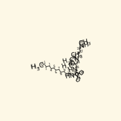 CCCCCCCCCCCCNc1c(NCC(CN(CCCCNC)C(C)C)OC)c(=O)c1=O